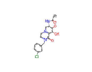 CC(C)C(=O)Nc1cn2ccn(Cc3cccc(Cl)c3)c(=O)c2c(O)c1=O